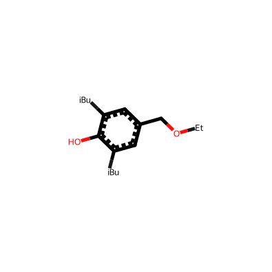 CCOCc1cc(C(C)CC)c(O)c(C(C)CC)c1